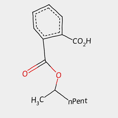 CCCCCC(C)OC(=O)c1ccccc1C(=O)O